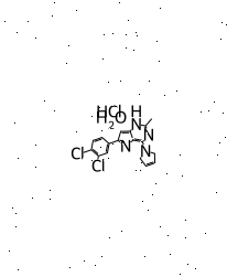 Cc1nc(N2CC=CC2)c2nc(-c3ccc(Cl)c(Cl)c3)cc-2[nH]1.Cl.O